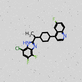 CC(c1nc2c(F)c(F)cc(Cl)c2[nH]1)C1CCC(c2ccnc3ccc(F)cc23)CC1